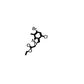 CCOC(=O)Cn1cc2c(Cl)cc(Br)c(C)c2n1